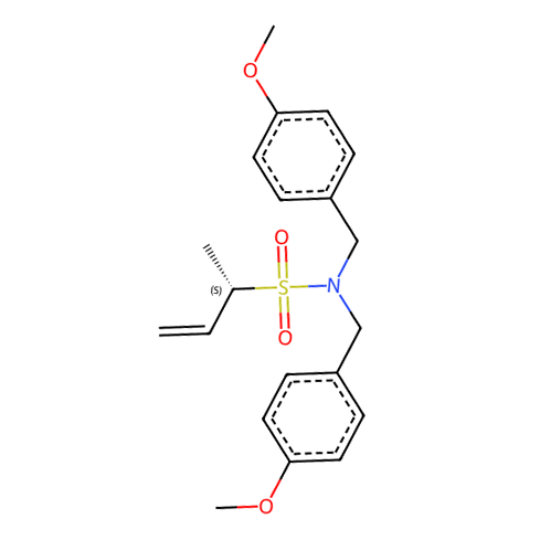 C=C[C@H](C)S(=O)(=O)N(Cc1ccc(OC)cc1)Cc1ccc(OC)cc1